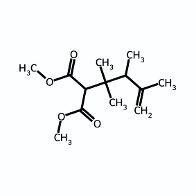 C=C(C)C(C)C(C)(C)C(C(=O)OC)C(=O)OC